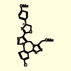 COCc1nnc2n1Cc1c(C3=N[C@@H](c4ccc(OC)cc4)CO3)ncn1-c1ccc(Cl)cc1-2